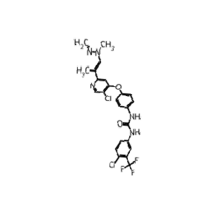 C=NN(C)/C=C(\C)c1cc(Oc2ccc(NC(=O)Nc3ccc(Cl)c(C(F)(F)F)c3)cc2)c(Cl)cn1